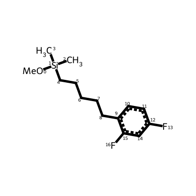 CO[Si](C)(C)CCCCCc1ccc(F)cc1F